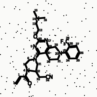 C=CC(=O)N1CCN(c2nc(OCCN(C)C)nc3c2CCN(c2ccccc2C(F)(F)F)C3)CC1CC#N